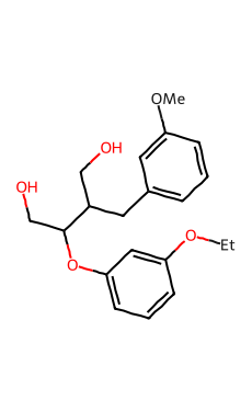 CCOc1cccc(OC(CO)C(CO)Cc2cccc(OC)c2)c1